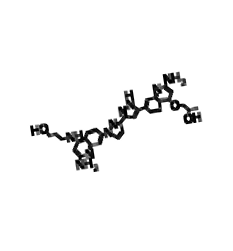 C[C@@H](O)COc1cc(N)nc2cc(-c3cc(-c4ccn(-c5ccc6c(NCCCO)cc(N)nc6c5)n4)n[nH]3)ccc12